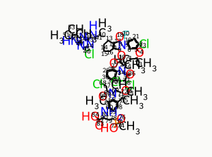 C#CC(C)Oc1cc(N2C(=O)C3=C(CCCC3)C2=O)c(F)cc1Cl.CC1COc2ccccc2N1C(=O)C(Cl)Cl.CCNc1nc(Cl)nc(NC(C)(C)C)n1.CCc1cccc(C)c1N(C(=O)CCl)C(C)COC.CP(=O)(O)CCC(N)C(=O)O